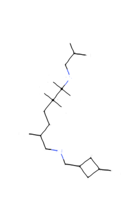 CC(C)CNC(C)(C)C(C)(C)CCC(C)CNCC1CC(C)C1